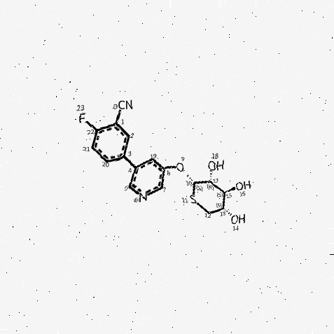 N#Cc1cc(-c2cncc(O[C@H]3SC[C@@H](O)[C@H](O)[C@H]3O)c2)ccc1F